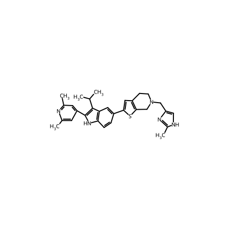 Cc1cc(-c2[nH]c3ccc(-c4cc5c(s4)CN(Cc4c[nH]c(C)n4)CC5)cc3c2C(C)C)cc(C)n1